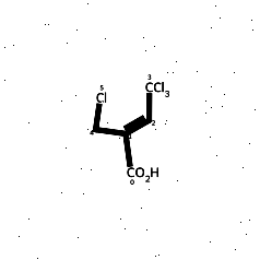 O=C(O)C(=CC(Cl)(Cl)Cl)CCl